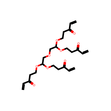 C=CC(=O)CCOC(COCC(OCCC(=O)C=C)OCCC(=O)C=C)OCCC(=O)C=C